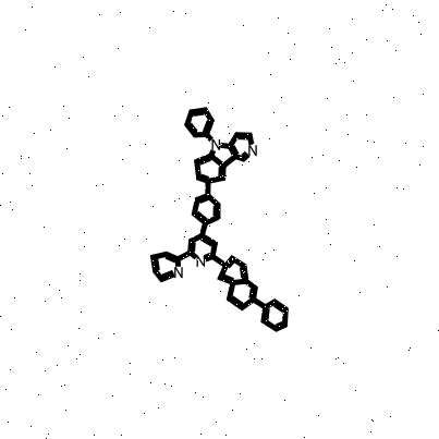 c1ccc(-c2ccc3cc(-c4cc(-c5ccc(-c6ccc7c(c6)c6cnccc6n7-c6ccccc6)cc5)cc(-c5ccccn5)n4)ccc3c2)cc1